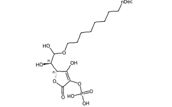 CCCCCCCCCCCCCCCCCCOC(O)[C@H](O)[C@H]1OC(=O)C(OP(=O)(O)O)=C1O